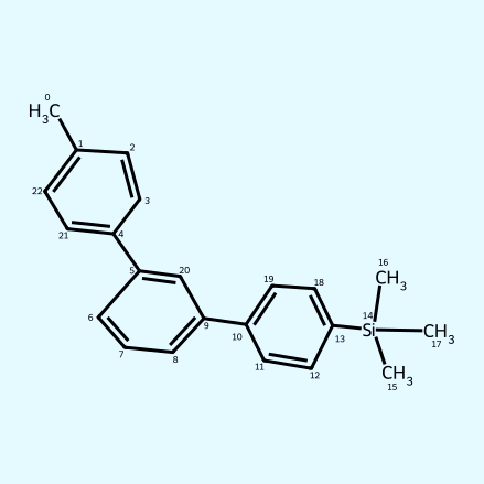 Cc1ccc(-c2cccc(-c3ccc([Si](C)(C)C)cc3)c2)cc1